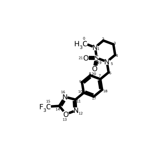 CN1CCCN(Cc2ccc(-c3noc(C(F)(F)F)n3)cc2)S1(=O)=O